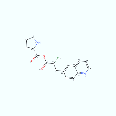 O=C(OC(=O)[C@@H]1CCCN1)C(Cl)Cc1ccc2ncccc2c1